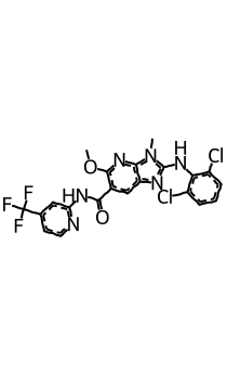 COc1nc2c(cc1C(=O)Nc1cc(C(F)(F)F)ccn1)nc(Nc1c(Cl)cccc1Cl)n2C